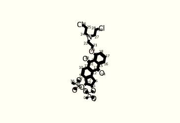 CS(=O)(=O)OC1Cc2c(ccc3c2C(=O)c2cccc(OCCN(CCCl)CCCl)c2C3=O)C1OS(C)(=O)=O